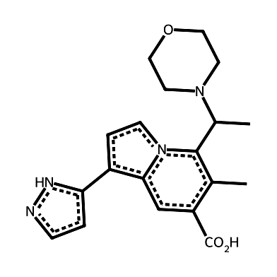 Cc1c(C(=O)O)cc2c(-c3ccn[nH]3)ccn2c1C(C)N1CCOCC1